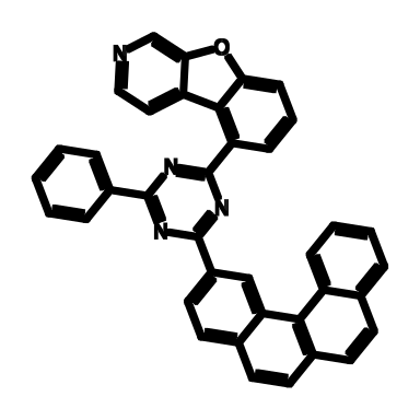 c1ccc(-c2nc(-c3ccc4ccc5ccc6ccccc6c5c4c3)nc(-c3cccc4oc5cnccc5c34)n2)cc1